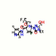 CCn1c(CO)nn(-c2nc(OC(C)C(F)(F)F)c(C(=O)Nc3cc(C)cnc3C)cc2F)c1=O